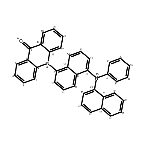 O=c1c2ccccc2n(-c2cccc3c(N(c4ccccc4)c4cccc5ccccc45)cccc23)c2ccccc12